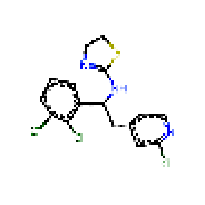 Clc1cc(CC(NC2=NCCS2)c2cccc(Cl)c2Cl)ccn1